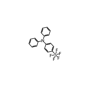 FS(F)(F)(F)(F)c1ccc(N(c2ccccc2)c2ccccc2)cc1